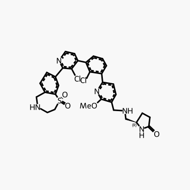 COc1nc(-c2cccc(-c3ccnc(-c4ccc5c(c4)S(=O)(=O)CCNC5)c3Cl)c2Cl)ccc1CNC[C@H]1CCC(=O)N1